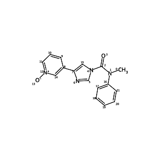 CN(C(=O)n1cnc(-c2ccc[n+]([O-])c2)c1)c1ccccc1